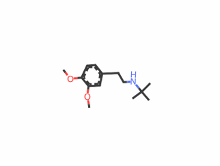 COc1ccc(CCNC(C)(C)C)cc1OC